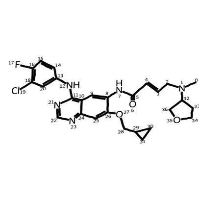 CN(CC=CC(=O)Nc1cc2c(Nc3ccc(F)c(Cl)c3)ncnc2cc1OCC1CC1)C1CCOC1